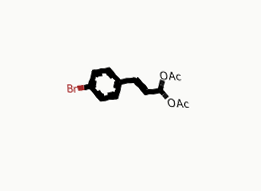 CC(=O)OC(C=Cc1ccc(Br)cc1)OC(C)=O